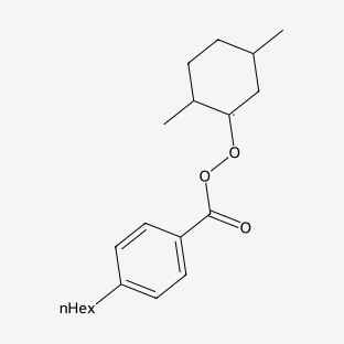 CCCCCCc1ccc(C(=O)OO[C]2CC(C)CCC2C)cc1